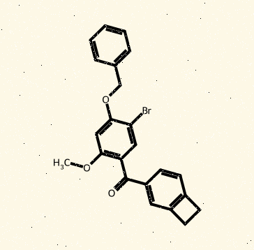 COc1cc(OCc2ccccc2)c(Br)cc1C(=O)c1ccc2c(c1)CC2